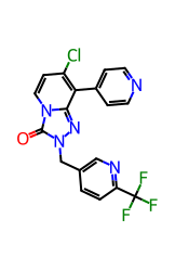 O=c1n(Cc2ccc(C(F)(F)F)nc2)nc2c(-c3ccncc3)c(Cl)ccn12